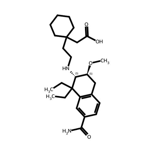 CCC1(CC)c2cc(C(N)=O)ccc2C[C@H](OC)[C@H]1NCCC1(CC(=O)O)CCCCC1